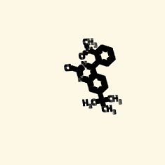 C[S+]([O-])c1ccccc1-c1nc(Cl)nc2cc(C(C)(C)C)ccc12